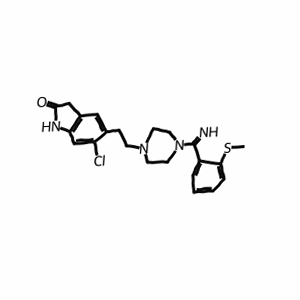 CSc1ccccc1C(=N)N1CCN(CCc2cc3c(cc2Cl)NC(=O)C3)CC1